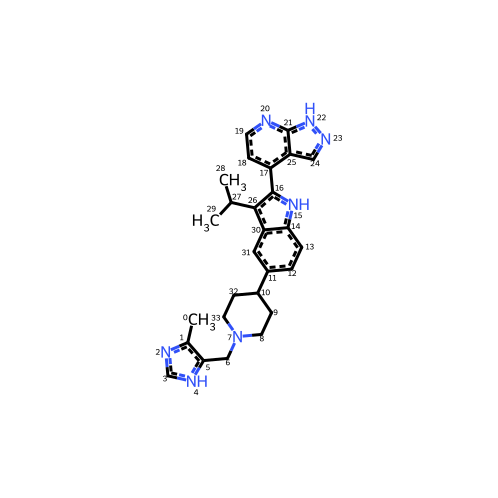 Cc1nc[nH]c1CN1CCC(c2ccc3[nH]c(-c4ccnc5[nH]ncc45)c(C(C)C)c3c2)CC1